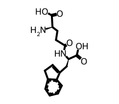 N[C@H](CCC(=O)N[C@H](CC1=CCc2ccccc21)C(=O)O)C(=O)O